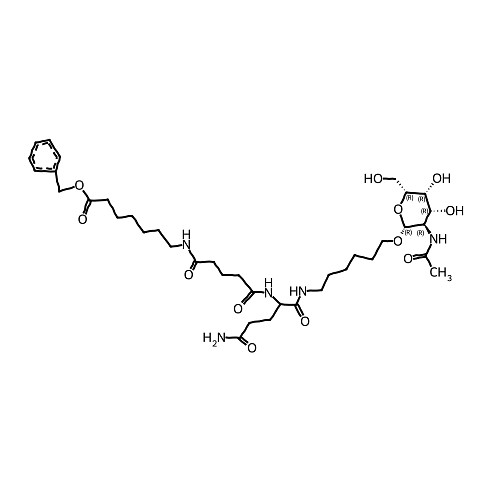 CC(=O)N[C@H]1[C@H](OCCCCCCNC(=O)C(CCC(N)=O)NC(=O)CCCC(=O)NCCCCCCC(=O)OCc2ccccc2)O[C@H](CO)[C@H](O)[C@@H]1O